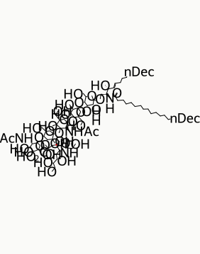 CCCCCCCCCCCCC/C=C/[C@@H](O)[C@H](CO[C@@H]1OC(CO)[C@@H](O[C@@H]2OC(CO)[C@H](O[C@@H]3OC(CO)[C@H](O)[C@H](O[C@@H]4OC(CO)[C@H](O[C@@H]5OC(CO)[C@H](O)[C@H](O)C5NC(C)=O)[C@H](O[C@]5(C(=O)O)CC(O)[C@@H](NC(=O)CO)C([C@H](O)[C@H](O)CO)O5)C4O)C3NC(C)=O)[C@H](O)C2O)[C@H](O)C1O)NC(=O)CCCCCCCCCCCCCCCCCCCCCCC